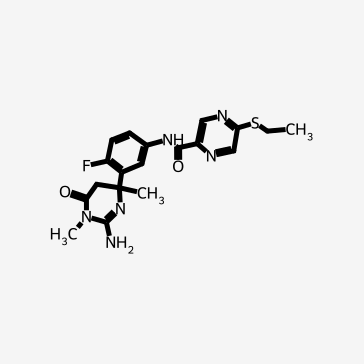 CCSc1cnc(C(=O)Nc2ccc(F)c(C3(C)CC(=O)N(C)C(N)=N3)c2)cn1